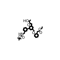 CCOC(=O)Cc1ccccc1OCc1cc(-c2cccc(CNC(=O)OC(C)(C)C)c2)c2oc(C(C)O)cc2c1